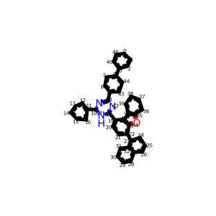 c1ccc(-c2ccc(C3=NC(c4ccccc4)NC(c4ccc(-c5cccc6ccccc56)c5oc6ccccc6c45)=N3)cc2)cc1